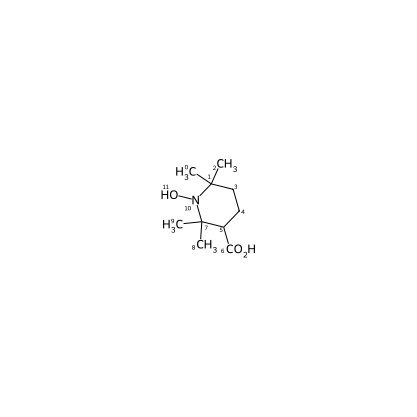 CC1(C)CCC(C(=O)O)C(C)(C)N1O